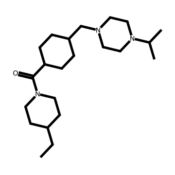 CCC1CCN(C(=O)C2CCC(CN3CCN(C(C)C)CC3)CC2)CC1